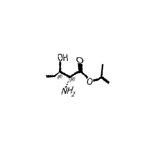 CC(C)OC(=O)[C@H](N)[C@@H](C)O